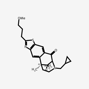 COCCCc1nc2cc3c(cc2s1)C(=O)C1[C@H](C)[C@@]3(C)CCN1CC1CC1